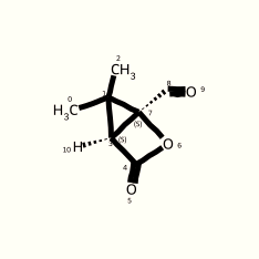 CC1(C)[C@@H]2C(=O)O[C@@]21C=O